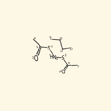 CC(=O)SNSC(C)=O.CCCC